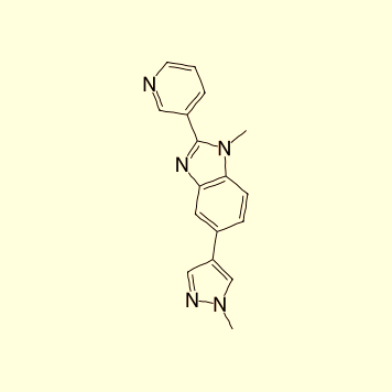 Cn1cc(-c2ccc3c(c2)nc(-c2cccnc2)n3C)cn1